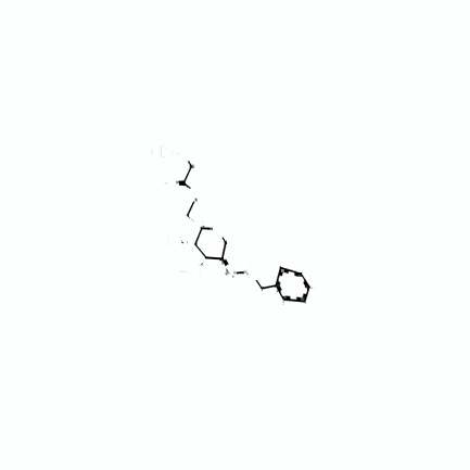 CCCCCCCCCCCC(=O)OC[C@H]1OC/C(=N\OCc2ccccc2)[C@@H](O)[C@@H]1O